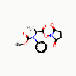 CC(C(=O)ON1C(=O)CCC1=O)N(C(=O)OC(C)(C)C)c1ccccc1